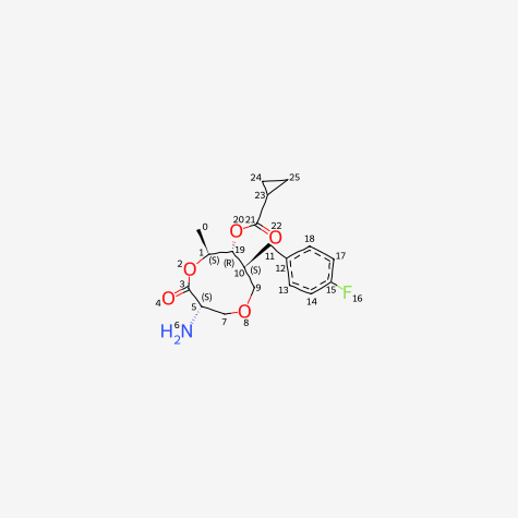 C[C@@H]1OC(=O)[C@@H](N)COC[C@H](Cc2ccc(F)cc2)[C@H]1OC(=O)C1CC1